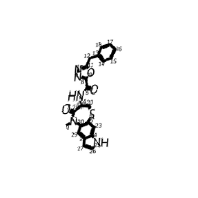 CN1C(=O)[C@@H](NC(=O)c2nnc(Cc3ccccc3)o2)CSc2cc3[nH]ccc3cc21